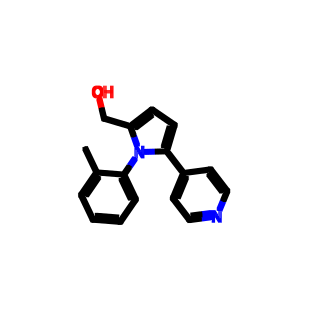 Cc1ccccc1-n1c(CO)ccc1-c1ccncc1